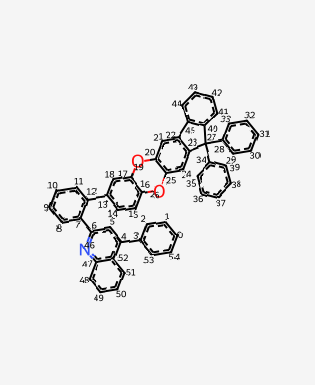 c1ccc(-c2cc(-c3ccccc3-c3ccc4c(c3)Oc3cc5c(cc3O4)C(c3ccccc3)(c3ccccc3)c3ccccc3-5)nc3ccccc23)cc1